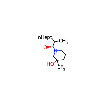 CCCCCCCC(C)C(=O)N1CCCC(O)(C(F)(F)F)C1